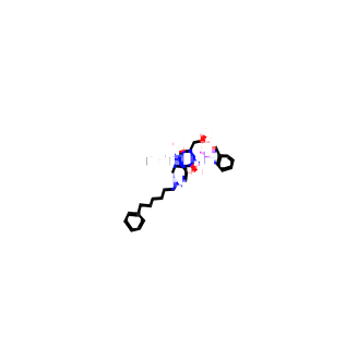 CCCN1C(=O)C(CC(=O)OCc2ccccc2)NC(=O)C12CCN(CCCCCCc1ccccc1)CC2